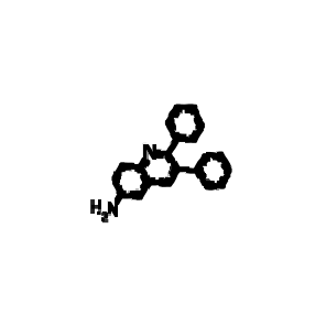 Nc1ccc2nc(-c3ccccc3)c(-c3ccccc3)cc2c1